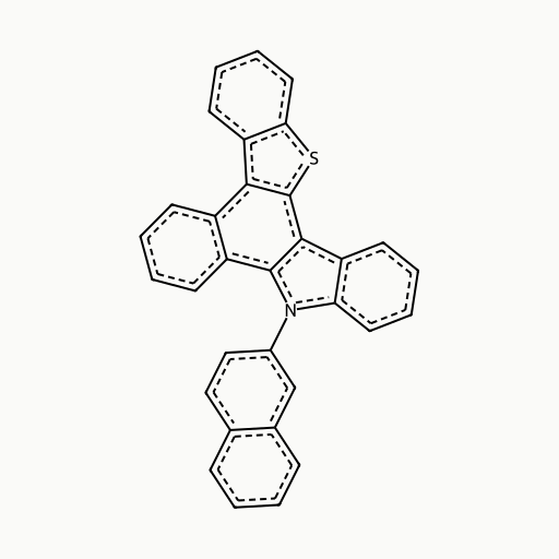 c1ccc2cc(-n3c4ccccc4c4c5sc6ccccc6c5c5ccccc5c43)ccc2c1